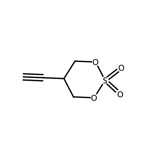 C#CC1COS(=O)(=O)OC1